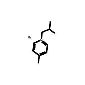 Cc1cc[n+](CC(C)F)cc1.[Br-]